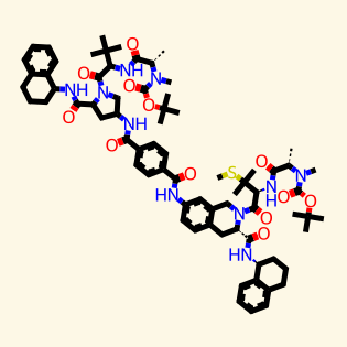 CSC(C)(C)[C@H](NC(=O)[C@H](C)N(C)C(=O)OC(C)(C)C)C(=O)N1Cc2cc(NC(=O)c3ccc(C(=O)NC4CC(C(=O)NC5CCCc6ccccc65)N(C(=O)C(NC(=O)[C@H](C)N(C)C(=O)OC(C)(C)C)C(C)(C)C)C4)cc3)ccc2C[C@H]1C(=O)N[C@@H]1CCCc2ccccc21